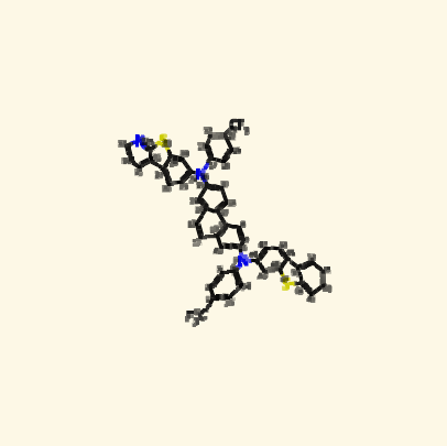 FC(F)(F)c1ccc(N(c2ccc3c(ccc4cc(N(c5ccc(C(F)(F)F)cc5)c5ccc6c(c5)sc5ncccc56)ccc43)c2)c2ccc3c(c2)sc2ccccc23)cc1